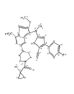 CCc1nn2c(C)cc(N3CCN(C(=O)C4(O)CC4)CC3)cc2c1N(C)c1nc(-c2ccc(F)cc2)c(C#N)s1